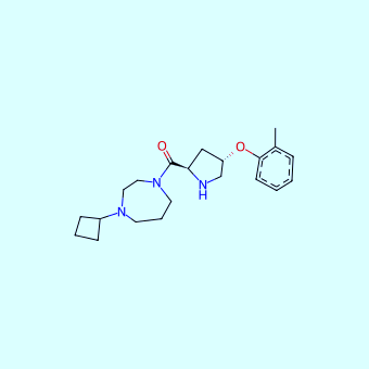 Cc1ccccc1O[C@@H]1CN[C@@H](C(=O)N2CCCN(C3CCC3)CC2)C1